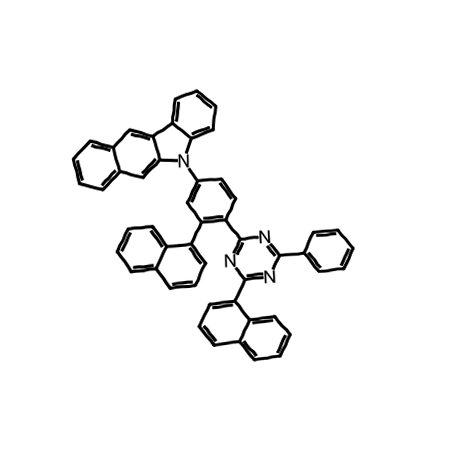 c1ccc(-c2nc(-c3ccc(-n4c5ccccc5c5cc6ccccc6cc54)cc3-c3cccc4ccccc34)nc(-c3cccc4ccccc34)n2)cc1